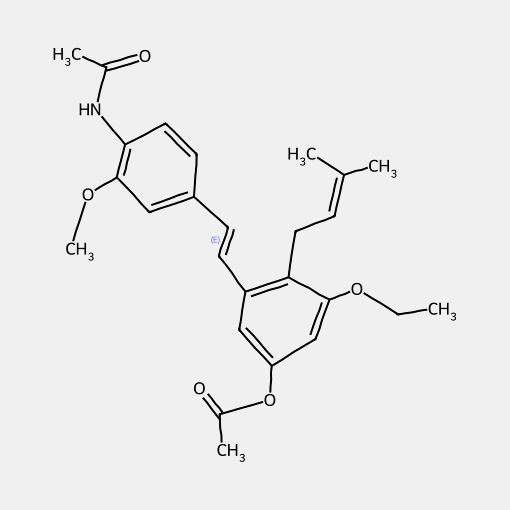 CCOc1cc(OC(C)=O)cc(/C=C/c2ccc(NC(C)=O)c(OC)c2)c1CC=C(C)C